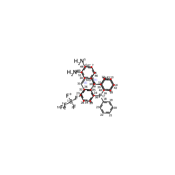 F[B-](F)(F)F.NC1CCC(=C\c2ccccc2P(c2ccccc2)c2ccccc2)/C(=C\c2ccccc2P(c2ccccc2)c2ccccc2)C1N.[Fe]